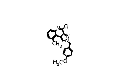 COc1ccc(Cn2cc3c(n2)c(Cl)nc2cccc(C)c23)cc1